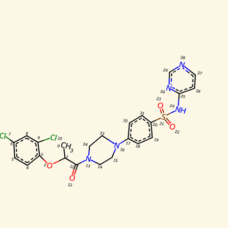 CC(Oc1ccc(Cl)cc1Cl)C(=O)N1CCN(c2ccc(S(=O)(=O)Nc3ccncn3)cc2)CC1